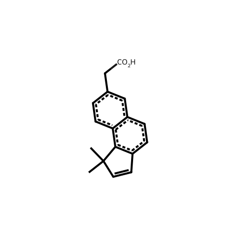 CC1(C)C=Cc2ccc3cc(CC(=O)O)ccc3c21